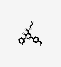 O=C(NCCO)c1cc(-c2ccc(CF)cc2)nn(-c2cccnc2)c1=O